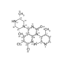 Cc1ccnc(C(C)C)c1-n1c(=O)nc(N2C[C@@H](C)NC[C@H]2C)c2cc(Cl)c(Cl)nc21